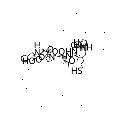 CC[C@H](C)[C@@H]([C@@H](CC(=O)N1CCC[C@H]1[C@H](OC)[C@@H](C)C(=O)N[C@@H](Cc1ccccc1)C(=O)O)OC)N(C)C(=O)[C@H]1NC(=O)[C@@H]2[C@H]3CC[C@@H]([C@H]3C)N2CCC(CCCS)C1C